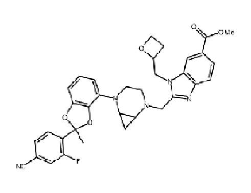 COC(=O)c1ccc2nc(CN3CCN(c4cccc5c4OC(C)(c4ccc(C#N)cc4F)O5)C4CC43)n(CC3CCO3)c2c1